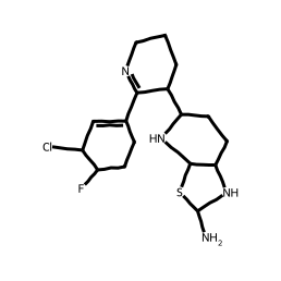 NC1NC2CCC(C3CCCN=C3C3=CC(Cl)C(F)CC3)NC2S1